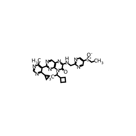 CC[S+]([O-])c1cnc(CNc2nc3cnc(-c4c(C)ncnc4C4CC4)nc3n(C(C)C3CCC3)c2=O)nc1